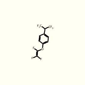 FC(F)=C(F)Oc1ccc(C(C(F)(F)F)C(F)(F)F)cc1